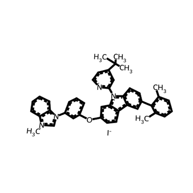 Cc1cccc(C)c1-c1ccc2c(c1)c1ccc(Oc3cccc(-n4c[n+](C)c5ccccc54)c3)cc1n2-c1cc(C(C)(C)C)ccn1.[I-]